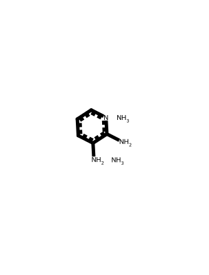 N.N.Nc1cccnc1N